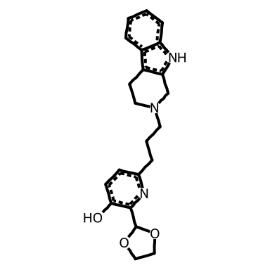 Oc1ccc(CCCN2CCc3c([nH]c4ccccc34)C2)nc1C1OCCO1